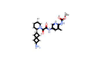 Cc1cc(NC(=O)C(=O)N2C[C@@H](C)CC[C@@H]2C2CC3(CC(N)C3)C2)cnc1NC(=O)OC(C)(C)C